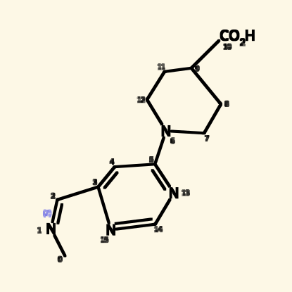 C/N=C\c1cc(N2CCC(C(=O)O)CC2)ncn1